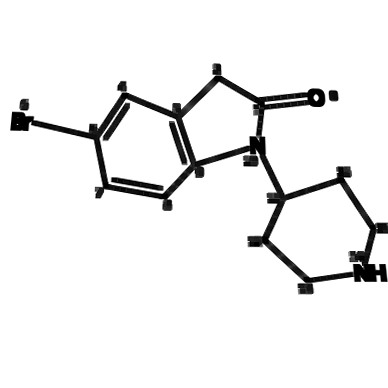 O=C1Cc2cc(Br)ccc2N1C1CCNCC1